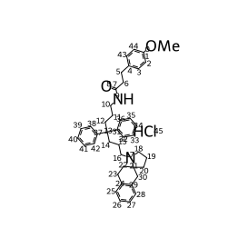 COc1ccc(CCC(=O)NCCCC(CCCN2CCCC23CCc2ccccc2C3)(c2ccccc2)c2ccccc2)cc1.Cl